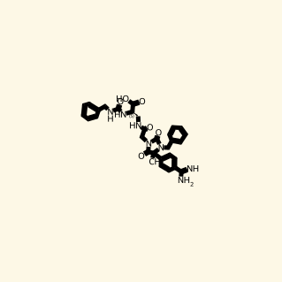 CC1(c2ccc(C(=N)N)cc2)C(=O)N(CC(=O)NC[C@H](NC(=O)NCc2ccccc2)C(=O)O)C(=O)N1Cc1ccccc1